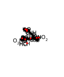 Cl.Cl.O=C(NCCNCCN1C(=O)c2cc3ccccc3cc2C1=O)c1cc(C(=O)NCCNCCN2C(=O)c3cccc4cc([N+](=O)[O-])cc(c34)C2=O)cc(N2C(=O)c3cccc4cc([N+](=O)[O-])cc(c34)C2=O)c1